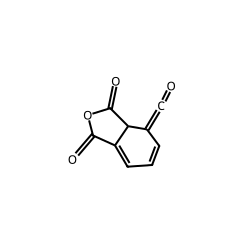 O=C=C1C=CC=C2C(=O)OC(=O)C12